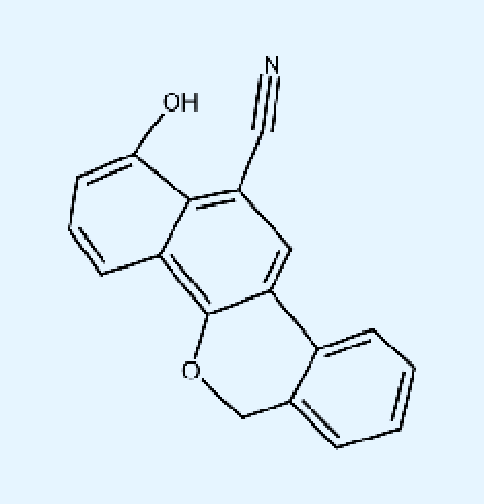 N#Cc1cc2c(c3cccc(O)c13)OCc1ccccc1-2